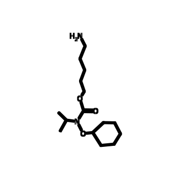 CC(C)N(OC1CCCCC1)C(=O)OCCCCCN